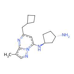 Cc1cnn2c(N[C@H]3CC[C@H](N)C3)cc(CC3CCC3)nc12